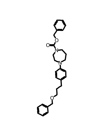 O=C(OCc1ccccc1)N1CCCN(c2ccc(CCCOCc3ccccc3)cc2)CC1